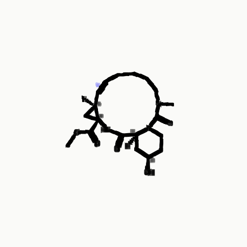 COC(=O)[C@@]12C[C@H]1/C=C\CCCCN(C)C(=O)N1CC[C@@H](O)C[C@H]1C(=O)N2